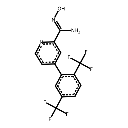 NC(=NO)c1cc(-c2cc(C(F)(F)F)ccc2C(F)(F)F)ccn1